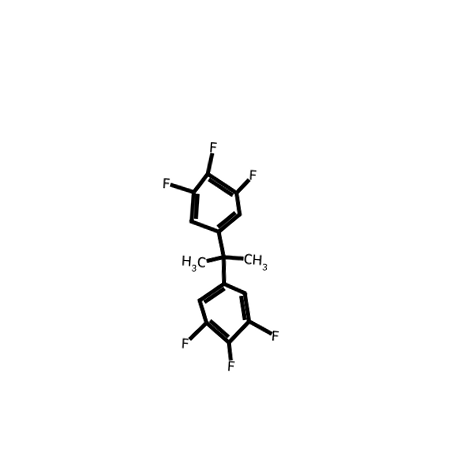 CC(C)(c1cc(F)c(F)c(F)c1)c1cc(F)c(F)c(F)c1